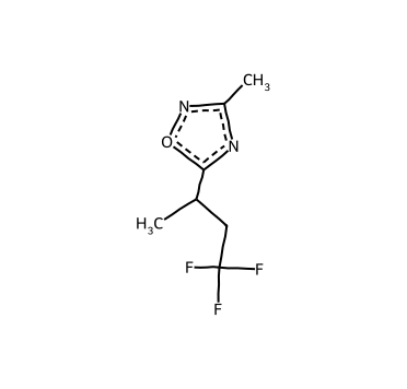 Cc1noc(C(C)CC(F)(F)F)n1